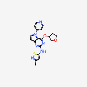 Cc1cc(Nc2nc(O[C@H]3CCOC3)c3c(ccn3-c3ccncc3)n2)sn1